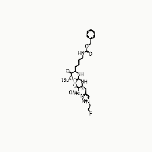 COC(=O)[C@H](Cc1cn(CCF)nn1)NC(=O)NC(CCCCNC(=O)OCc1ccccc1)C(=O)OC(C)(C)C